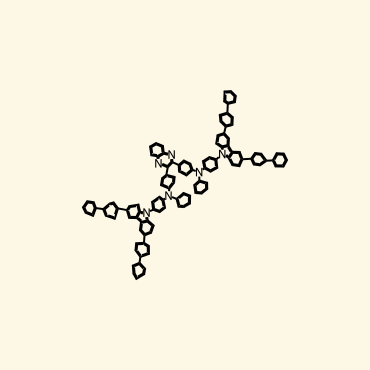 c1ccc(-c2ccc(-c3ccc4c(c3)c3cc(-c5ccc(-c6ccccc6)cc5)ccc3n4-c3ccc(N(c4ccccc4)c4ccc(-c5nc6ccccc6nc5-c5ccc(N(c6ccccc6)c6ccc(-n7c8ccc(-c9ccc(-c%10ccccc%10)cc9)cc8c8cc(-c9ccc(-c%10ccccc%10)cc9)ccc87)cc6)cc5)cc4)cc3)cc2)cc1